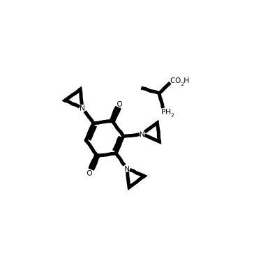 CC(P)C(=O)O.O=C1C=C(N2CC2)C(=O)C(N2CC2)=C1N1CC1